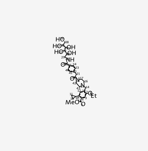 CCOc1cc(C(=O)OC)c(C2CC2)cc1CN1CCN(C(=O)Cc2ccc(C(=O)NCC(O)C(O)C(O)C(O)CO)cc2)CC1